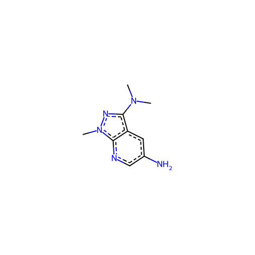 CN(C)c1nn(C)c2ncc(N)cc12